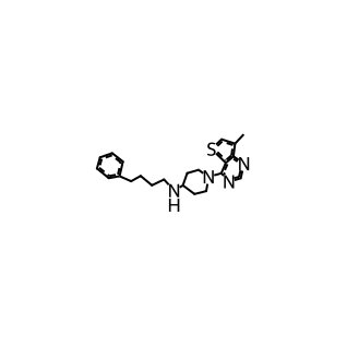 Cc1csc2c(N3CCC(NCCCCc4ccccc4)CC3)ncnc12